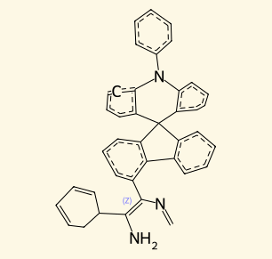 C=N/C(=C(\N)C1C=CC=CC1)c1cccc2c1-c1ccccc1C21c2ccccc2N(c2ccccc2)c2ccccc21